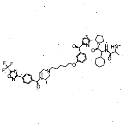 CCN(CCCCCOc1cccc(C(=O)c2csc([C@@H]3CCCN3C(=O)C(NC(=O)C(C)NC)C3CCCCC3)n2)c1)CC(C)NC(=O)c1ccc(-c2noc(C(F)(F)F)n2)cc1